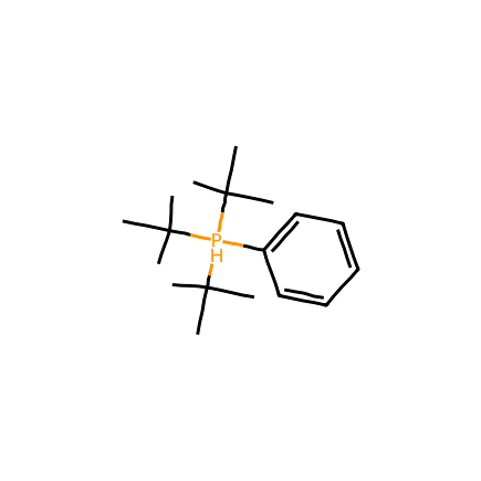 CC(C)(C)[PH](c1ccccc1)(C(C)(C)C)C(C)(C)C